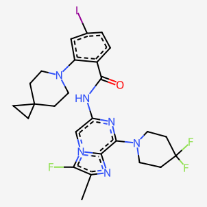 Cc1nc2c(N3CCC(F)(F)CC3)nc(NC(=O)c3ccc(I)cc3N3CCC4(CC3)CC4)cn2c1F